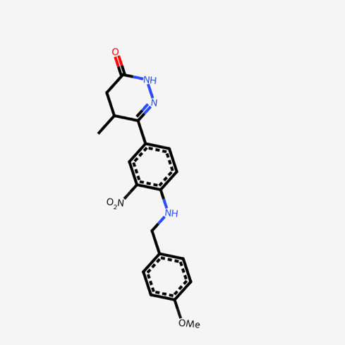 COc1ccc(CNc2ccc(C3=NNC(=O)CC3C)cc2[N+](=O)[O-])cc1